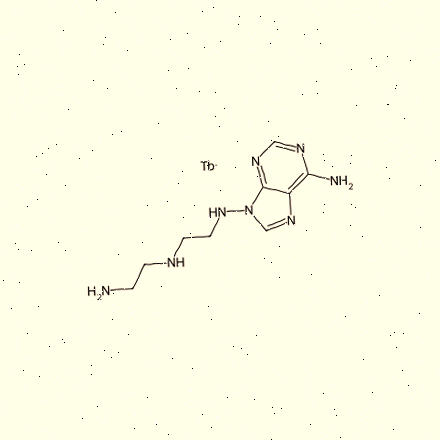 NCCNCCNn1cnc2c(N)ncnc21.[Tb]